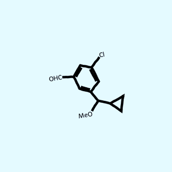 COC(c1cc(Cl)cc(C=O)c1)C1CC1